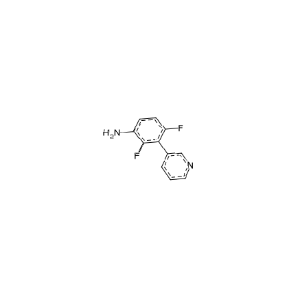 Nc1ccc(F)c(-c2cccnc2)c1F